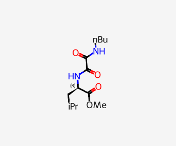 CCCCNC(=O)C(=O)N[C@H](CC(C)C)C(=O)OC